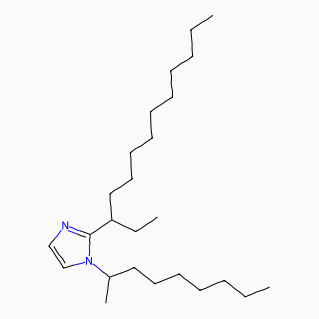 CCCCCCCCCCC(CC)c1nccn1C(C)CCCCCCC